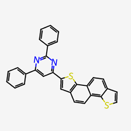 c1ccc(-c2cc(-c3cc4ccc5c(ccc6ccsc65)c4s3)nc(-c3ccccc3)n2)cc1